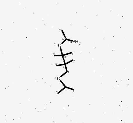 CC(C)OCC(C)(C)C(C)(C)OC(C)P